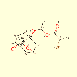 CC(OC(=O)C(C)Br)OC12CC3CC(C1)OC(=O)C(C3)C2